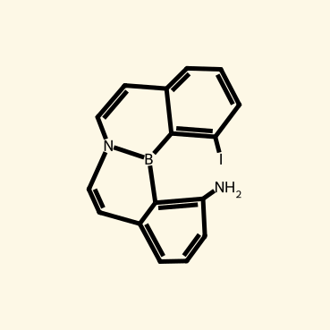 Nc1cccc2c1B1c3c(I)cccc3C=CN1C=C2